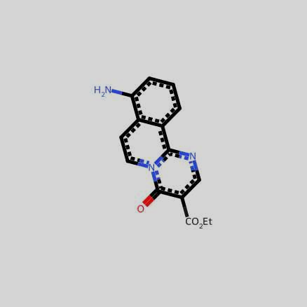 CCOC(=O)c1cnc2c3cccc(N)c3ccn2c1=O